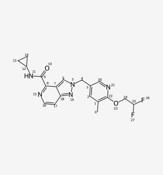 Cc1cc(Cn2cc3c(C(=O)NC4CC4)nccc3n2)cnc1OCC(F)F